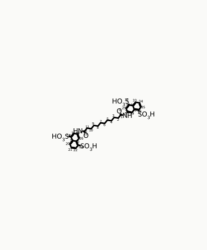 O=C(CCCCCCCCCCC(=O)Nc1cc(S(=O)(=O)O)c2cccc(S(=O)(=O)O)c2c1)Nc1cc(S(=O)(=O)O)c2cccc(S(=O)(=O)O)c2c1